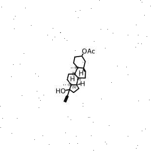 C#CC1(O)CC[C@H]2[C@@H]3CC=C4CC(OC(C)=O)CC[C@]4(C)[C@@H]3CC[C@@]21C